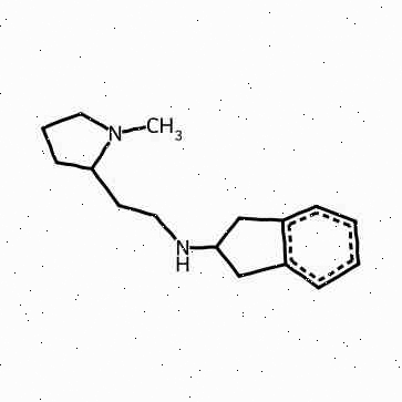 CN1CCCC1CCNC1Cc2ccccc2C1